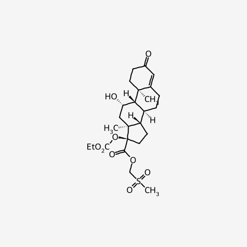 CCOC(=O)O[C@]1(C(=O)OCS(C)(=O)=O)CC[C@H]2[C@@H]3CCC4=CC(=O)CC[C@]4(C)[C@H]3[C@@H](O)C[C@@]21C